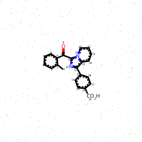 Cc1ccccc1C(=O)c1nc(-c2ccc(C(=O)O)cc2)c2ccccn12